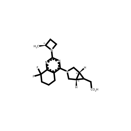 C[C@H]1CCN1c1nc(N2C[C@@H]3C(CC(=O)O)[C@@H]3C2)c2c(n1)C(F)(F)CCC2